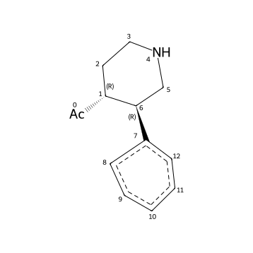 CC(=O)[C@@H]1CCNC[C@H]1c1ccccc1